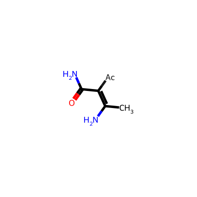 CC(=O)/C(C(N)=O)=C(\C)N